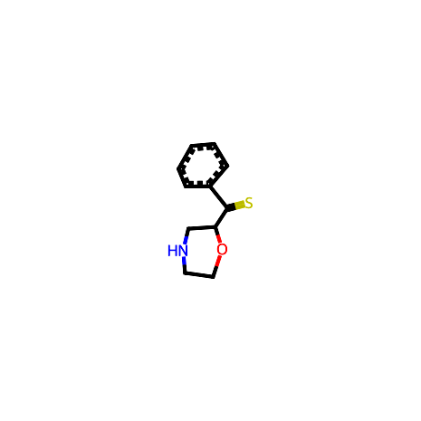 S=C(c1ccccc1)C1CNCCO1